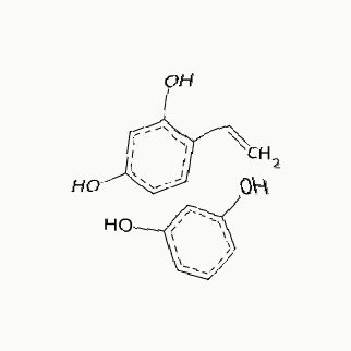 C=Cc1ccc(O)cc1O.Oc1cccc(O)c1